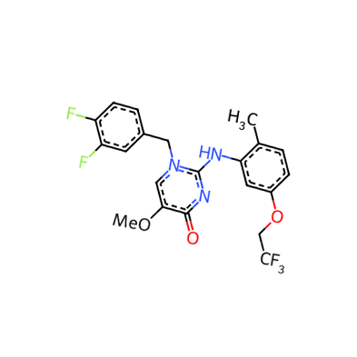 COc1cn(Cc2ccc(F)c(F)c2)c(Nc2cc(OCC(F)(F)F)ccc2C)nc1=O